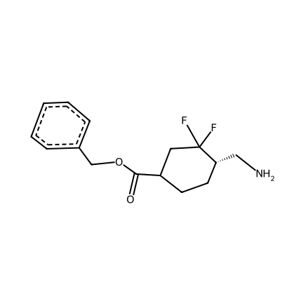 NC[C@@H]1CCC(C(=O)OCc2ccccc2)CC1(F)F